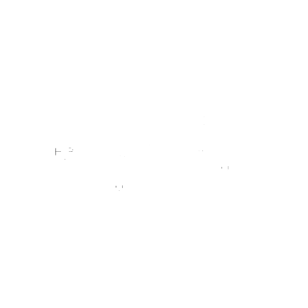 BCC(=O)CCC(=O)OC